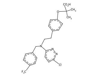 CC(C)(Oc1ccc(CCN(Cc2ccc(C(F)(F)F)cc2)c2ccc(Cl)nn2)cc1)C(=O)O